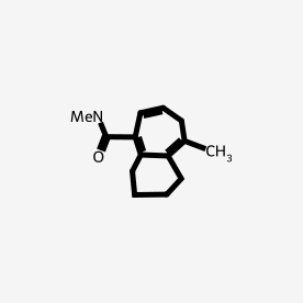 CNC(=O)C1=C2CCCCC2=C(C)CC=C1